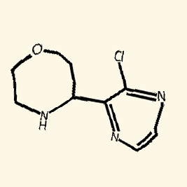 Clc1nccnc1C1COCCN1